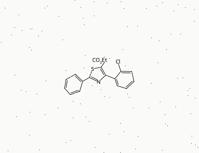 CCOC(=O)c1sc(-c2ccccc2)nc1-c1ccccc1Cl